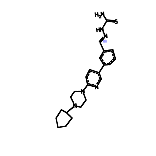 NC(=S)N/N=C/c1cccc(-c2ccc(N3CCN(C4CCCCC4)CC3)nc2)c1